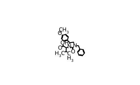 COc1ccc(C2CN(Cc3ccccc3)C(=O)N2C(C(=O)O)C(C)C)cc1